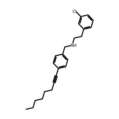 CCCCCCC#Cc1ccc(CNCCc2cccc(Cl)c2)cc1